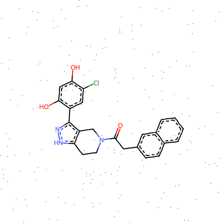 O=C(Cc1ccc2ccccc2c1)N1CCc2[nH]nc(-c3cc(Cl)c(O)cc3O)c2C1